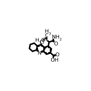 CN(C)C(C(N)=O)c1cc(C(=O)O)cc2nc3c(c(Cl)c12)CCCC3